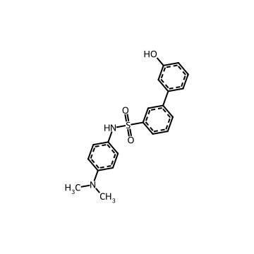 CN(C)c1ccc(NS(=O)(=O)c2cccc(-c3cccc(O)c3)c2)cc1